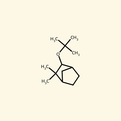 CC(C)(C)OC1C2CCC(C2)C1(C)C